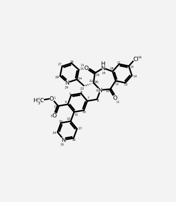 COC(=O)c1ccc(CN2C(=O)c3ccc(Cl)cc3NC(=O)[C@H]2Cc2ccccn2)cc1-c1ccncc1